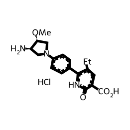 CCc1cc(C(=O)O)c(=O)[nH]c1-c1ccc(N2C[C@@H](N)[C@H](OC)C2)cc1.Cl